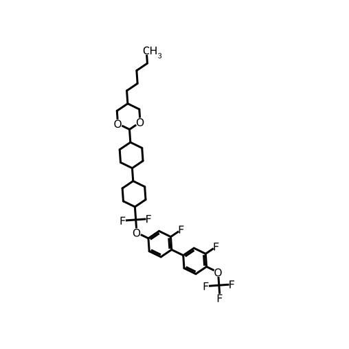 CCCCCC1COC(C2CCC(C3CCC(C(F)(F)Oc4ccc(-c5ccc(OC(F)(F)F)c(F)c5)c(F)c4)CC3)CC2)OC1